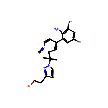 C=N/C=C\C(=C/CC(C)(C)n1ccc(CCO)n1)c1cc(F)cc(C(C)C)c1N